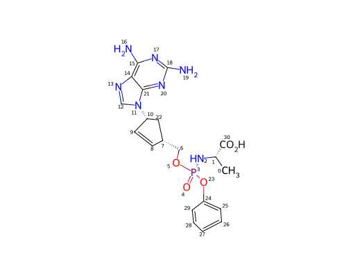 C[C@H](N[P@](=O)(OC[C@@H]1C=C[C@H](n2cnc3c(N)nc(N)nc32)C1)Oc1ccccc1)C(=O)O